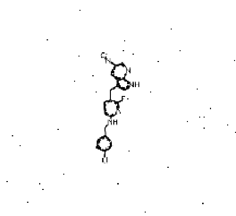 [C-]#[N+]c1cnc2[nH]cc(Cc3ccc(NCc4ccc(Cl)cc4)nc3F)c2c1